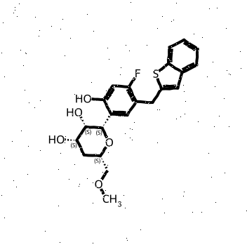 COC[C@@H]1C[C@H](O)[C@H](O)[C@H](c2cc(Cc3cc4ccccc4s3)c(F)cc2O)O1